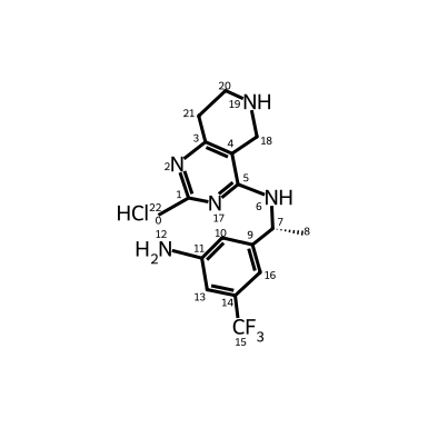 Cc1nc2c(c(N[C@H](C)c3cc(N)cc(C(F)(F)F)c3)n1)CNCC2.Cl